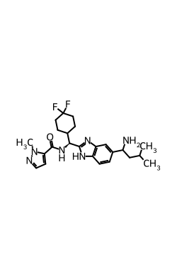 CC(C)CC(N)c1ccc2[nH]c([C@@H](NC(=O)c3ccnn3C)C3CCC(F)(F)CC3)nc2c1